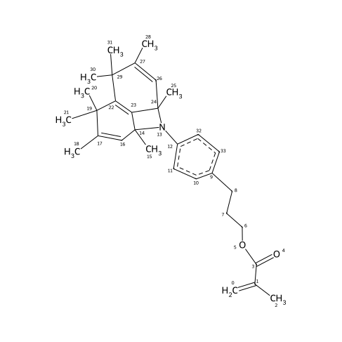 C=C(C)C(=O)OCCCc1ccc(N2C3(C)C=C(C)C(C)(C)C4=C3C2(C)C=C(C)C4(C)C)cc1